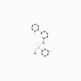 O=C(O)CC(NC(=O)c1cccc(-c2ccccc2Cl)n1)c1cccc(Cl)c1